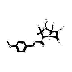 COc1ccc(COC(=O)[C@@H]2N3C(=O)[C@@H](Br)[C@H]3[S+]([O-])C2(C)C)cc1